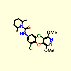 COc1nnc(OC)c(Oc2ccc(NC(=S)N3C(C)CCCC3C)cc2Cl)c1Cl